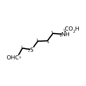 O=CCSCCCNC(=O)O